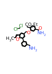 CCOC(=O)Cc1ccc(C(N)=O)cc1OCc1cc(-c2cccc(CN)c2)c2oc(C)cc2c1.ClCCl